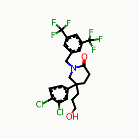 O=C1CCC(CCCO)(c2ccc(Cl)c(Cl)c2)CN1Cc1cc(C(F)(F)F)cc(C(F)(F)F)c1